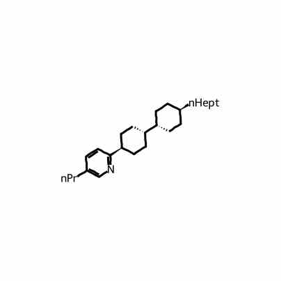 CCCCCCC[C@H]1CC[C@H]([C@H]2CC[C@H](c3ccc(CCC)cn3)CC2)CC1